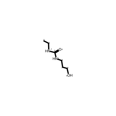 CCNC(=O)NCCCO